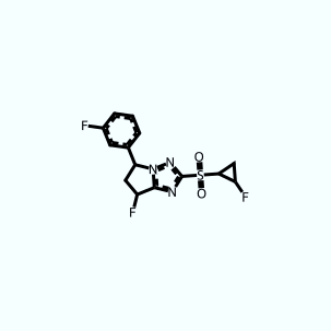 O=S(=O)(c1nc2n(n1)C(c1cccc(F)c1)CC2F)C1CC1F